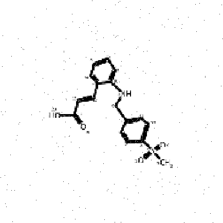 CS(=O)(=O)c1ccc(CNc2ccccc2C=CC(=O)O)cc1